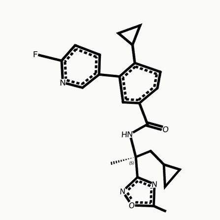 Cc1nc([C@](C)(CC2CC2)NC(=O)c2ccc(C3CC3)c(-c3ccc(F)nc3)c2)no1